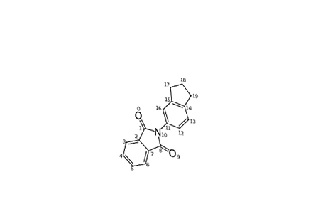 O=C1c2ccccc2C(=O)N1c1ccc2c(c1)CCC2